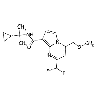 COCc1cc(C(F)F)nc2c(C(=O)NC(C)(C)C3CC3)ccn12